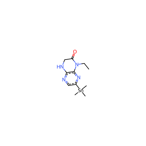 CCN1C(=O)CNc2nc[c]([Sn]([CH3])([CH3])[CH3])nc21